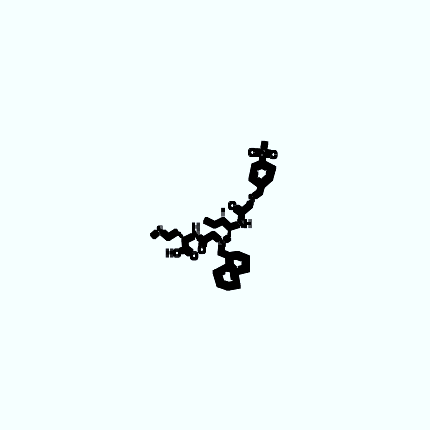 CC[C@H](C)[C@@H](CN(CC(=O)N[C@@H](CCSC)C(=O)O)Cc1cccc2ccccc12)NC(=O)CSCc1ccc(S(C)(=O)=O)cc1